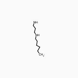 [CH2]CCCCCNCCC[NH]